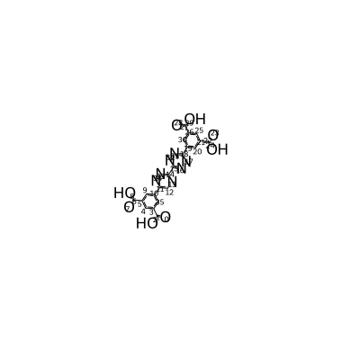 O=C(O)c1cc(C(=O)O)cc(-c2cnc(-c3nnc(-c4cc(C(=O)O)cc(C(=O)O)c4)nn3)nn2)c1